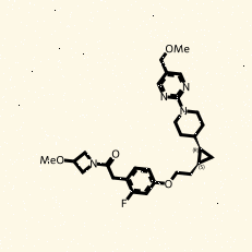 COCc1cnc(N2CCC([C@H]3C[C@H]3CCOc3ccc(CC(=O)N4CC(OC)C4)c(F)c3)CC2)nc1